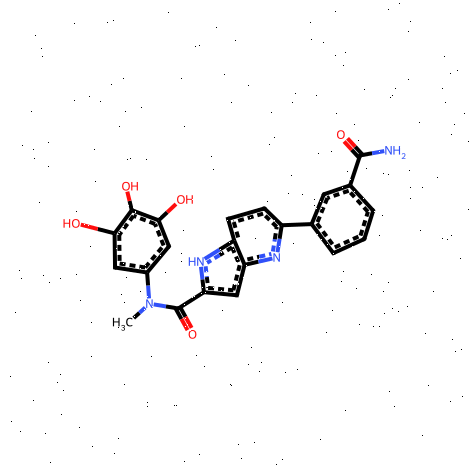 CN(C(=O)c1cc2nc(-c3cccc(C(N)=O)c3)ccc2[nH]1)c1cc(O)c(O)c(O)c1